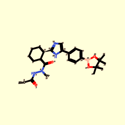 COC(=O)NN(C(=O)C1CCCC[C@@H]1c1ncc(-c2ccc(B3OC(C)(C)C(C)(C)O3)cc2)[nH]1)C(C)C